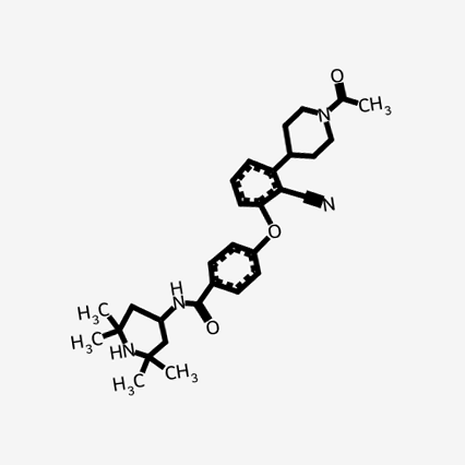 CC(=O)N1CCC(c2cccc(Oc3ccc(C(=O)NC4CC(C)(C)NC(C)(C)C4)cc3)c2C#N)CC1